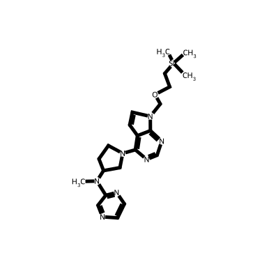 CN(c1cnccn1)C1CCN(c2ncnc3c2ccn3COCC[Si](C)(C)C)C1